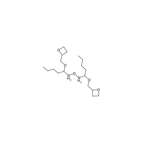 CCCCC(OCC1CCO1)[SiH2]O[SiH2]C(CCCC)OCC1CCO1